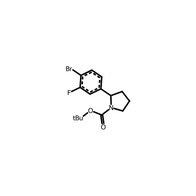 CC(C)(C)OC(=O)N1CCCC1c1ccc(Br)c(F)c1